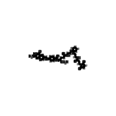 Nc1nc2ncc(CNc3ccc(C(=O)N[C@@H](CCC(=O)NCCOC4(OCCNC(=O)CCN5C(=O)C=CC5=O)CCCC4)C(=O)O)cc3)nc2c(=O)[nH]1